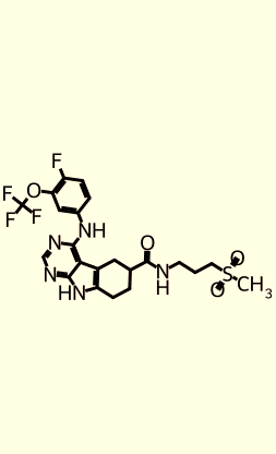 CS(=O)(=O)CCCNC(=O)C1CCc2[nH]c3ncnc(Nc4ccc(F)c(OC(F)(F)F)c4)c3c2C1